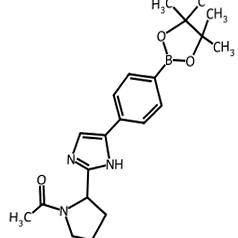 CC(=O)N1CCCC1c1ncc(-c2ccc(B3OC(C)(C)C(C)(C)O3)cc2)[nH]1